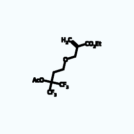 C=C(COCCC(OC(C)=O)(C(F)(F)F)C(F)(F)F)C(=O)OCC